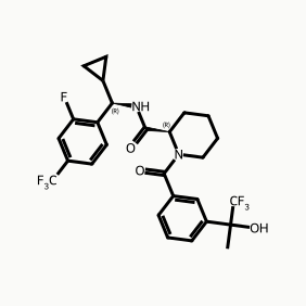 CC(O)(c1cccc(C(=O)N2CCCC[C@@H]2C(=O)N[C@@H](c2ccc(C(F)(F)F)cc2F)C2CC2)c1)C(F)(F)F